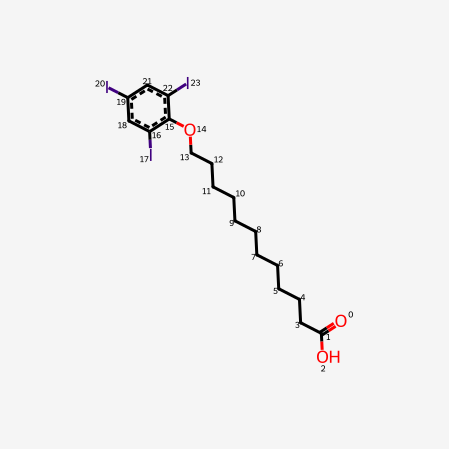 O=C(O)CCCCCCCCCCCOc1c(I)cc(I)cc1I